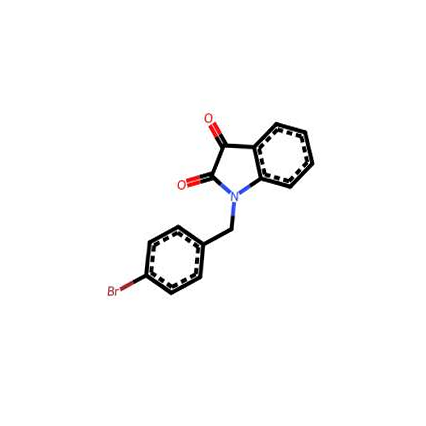 O=C1C(=O)N(Cc2ccc(Br)cc2)c2ccccc21